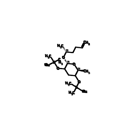 C=CCC[C@@H](C)O[C@@H]1O[C@@H](C)C(O[Si](C)(C)C(C)(C)C)CC1O[Si](C)(C)C(C)(C)C